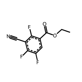 CCOC(=O)c1cc(F)c(F)c(C#N)c1F